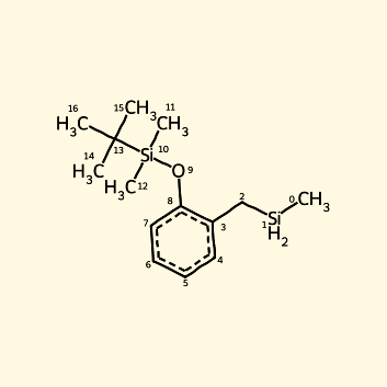 C[SiH2]Cc1ccccc1O[Si](C)(C)C(C)(C)C